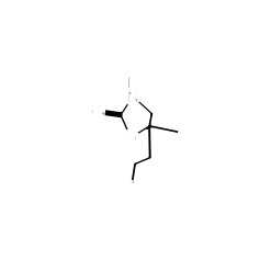 CC1(CCF)CNC(=O)O1